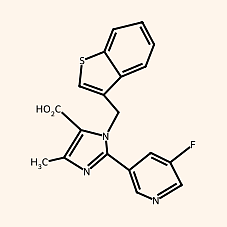 Cc1nc(-c2cncc(F)c2)n(Cc2csc3ccccc23)c1C(=O)O